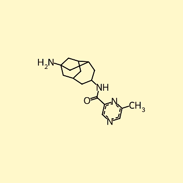 Cc1cncc(C(=O)NC2CC3CC4CC(N)(C3)CC4C2)n1